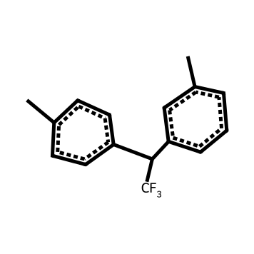 Cc1ccc(C(c2cccc(C)c2)C(F)(F)F)cc1